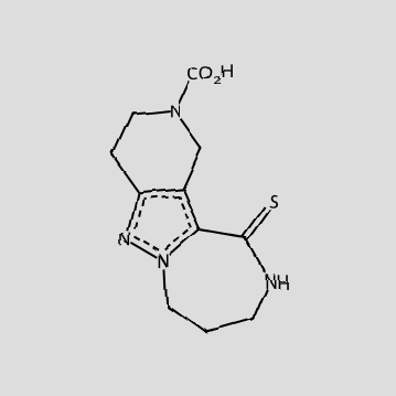 O=C(O)N1CCc2nn3c(c2C1)C(=S)NCCC3